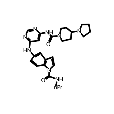 CCCNC(=O)n1ccc2cc(Nc3cc(NC(=O)N4CCC(N5CCCC5)CC4)ncn3)ccc21